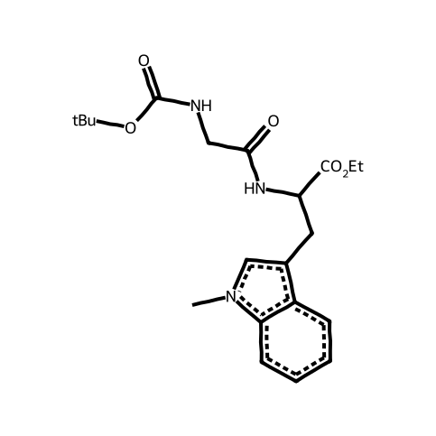 CCOC(=O)C(Cc1cn(C)c2ccccc12)NC(=O)CNC(=O)OC(C)(C)C